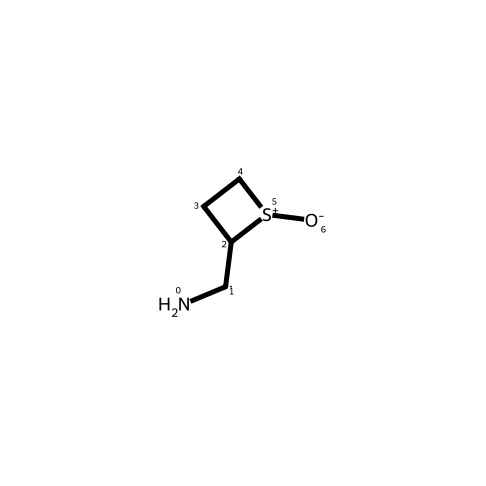 N[CH]C1CC[S+]1[O-]